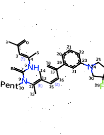 C=C(C)/C=C(\C)NC(=C)N(CCCCC)/C(C)=C(C)/C=C\C(=C)c1cccc(N2CCC(C)(F)C2)c1